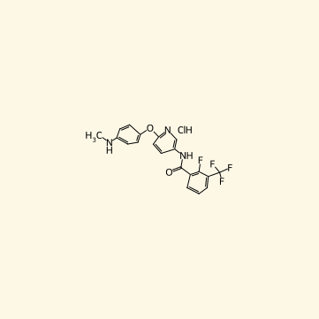 CNc1ccc(Oc2ccc(NC(=O)c3cccc(C(F)(F)F)c3F)cn2)cc1.Cl